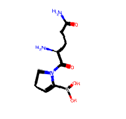 NC(=O)CC[C@H](N)C(=O)N1CCC=C1B(O)O